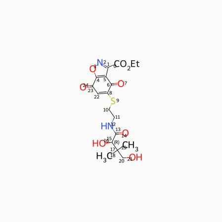 CCOC(=O)c1noc2c1C(=O)C(SCCNC(=O)[C@H](O)C(C)(C)CO)=CC2=O